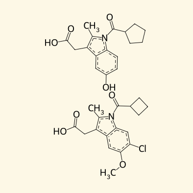 COc1cc2c(CC(=O)O)c(C)n(C(=O)C3CCC3)c2cc1Cl.Cc1c(CC(=O)O)c2cc(O)ccc2n1C(=O)C1CCCC1